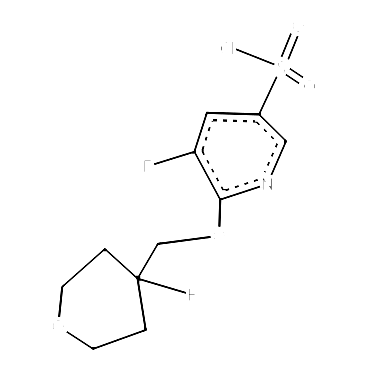 O=S(=O)(Cl)c1cnc(OCC2(F)CCOCC2)c(F)c1